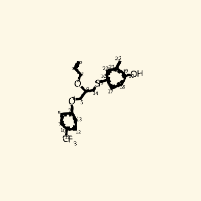 C=CCOC(COc1ccc(C(F)(F)F)cc1)CSc1ccc(O)c(C)c1